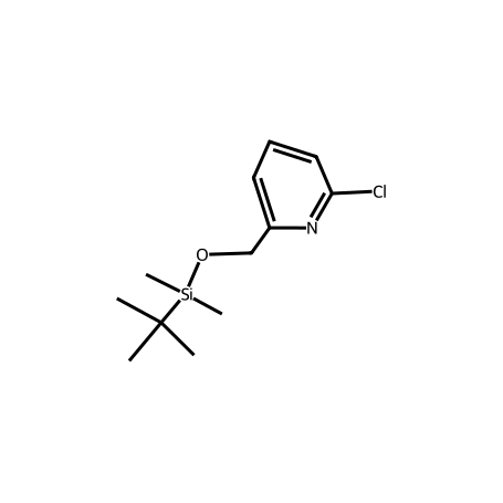 CC(C)(C)[Si](C)(C)OCc1cccc(Cl)n1